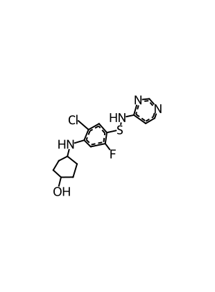 OC1CCC(Nc2cc(F)c(SNc3ccncn3)cc2Cl)CC1